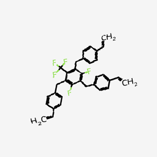 C=Cc1ccc(Cc2c(F)c(Cc3ccc(C=C)cc3)c(C(F)(F)F)c(Cc3ccc(C=C)cc3)c2F)cc1